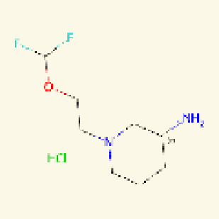 Cl.N[C@@H]1CCCN(CCOC(F)F)C1